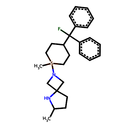 CC1CCC2(CN(S3(C)CCC(C(F)(c4ccccc4)c4ccccc4)CC3)C2)N1